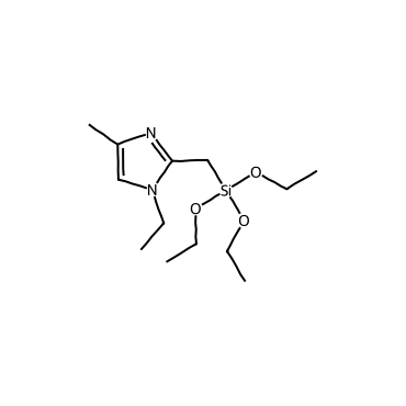 CCO[Si](Cc1nc(C)cn1CC)(OCC)OCC